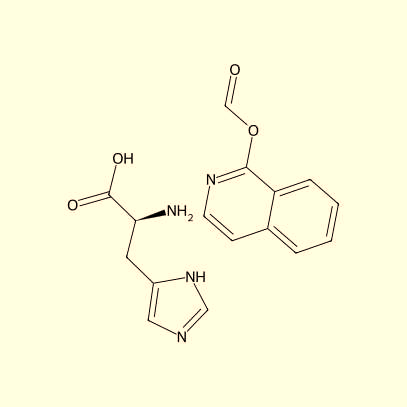 N[C@@H](Cc1cnc[nH]1)C(=O)O.O=COc1nccc2ccccc12